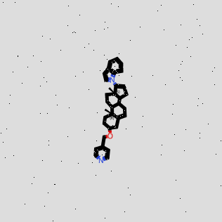 C[C@]12CCC(OCc3ccncc3)CC1=CCC1C2CC[C@]2(C)C(n3ccc4ccccc43)=CCC12